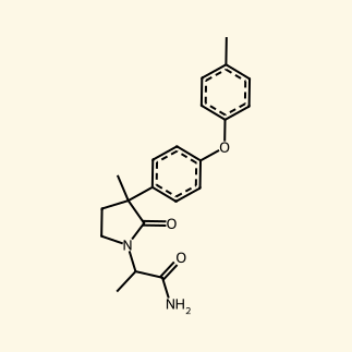 Cc1ccc(Oc2ccc(C3(C)CCN(C(C)C(N)=O)C3=O)cc2)cc1